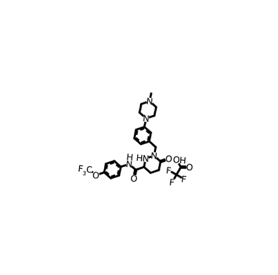 CN1CCN(c2cccc(CN3NC(C(=O)Nc4ccc(OC(F)(F)F)cc4)CCC3=O)c2)CC1.O=C(O)C(F)(F)F